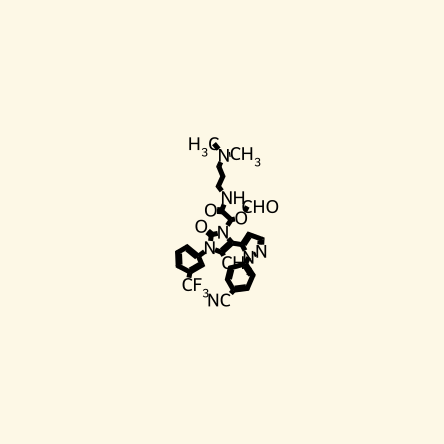 Cc1c(-c2ccnn2-c2ccc(C#N)cc2)n(C(OC=O)C(=O)NCCCN(C)C)c(=O)n1-c1cccc(C(F)(F)F)c1